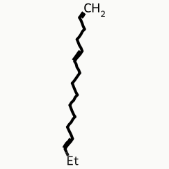 C=CCCC=CCCCCCCC=CCC